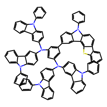 c1ccc(-n2c3ccccc3c3cc(N(c4cc(-c5ccc6c(c5)c5c7sc8ccccc8c7ccc5n6-c5ccccc5)cc(N(c5ccc6c(c5)c5ccccc5n6-c5ccccc5)c5ccc6c(c5)c5ccccc5n6-c5ccccc5)c4)c4ccc5c(c4)c4ccccc4n5-c4ccccc4)ccc32)cc1